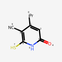 CC(C)c1cc(=O)[nH]c(S)c1C#N